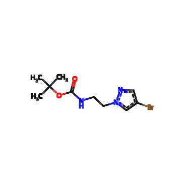 CC(C)(C)OC(=O)NCCn1cc(Br)cn1